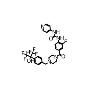 O=C(Nc1ccncc1)Nc1ccc(C(=O)N2CCN(Cc3ccc(C(O)(C(F)(F)F)C(F)(F)F)cc3)CC2)cc1F